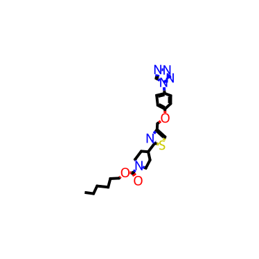 CCCCCCOC(=O)N1CCC(c2nc(COc3ccc(-n4cnnn4)cc3)cs2)CC1